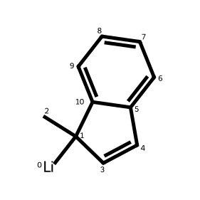 [Li][C]1(C)C=Cc2ccccc21